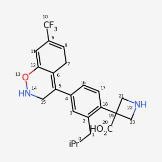 CC(C)Cc1cc(C2=C3CC=C(C(F)(F)F)C=C3ONC2)ccc1C1(C(=O)O)CNC1